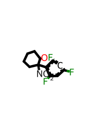 O=C1CCCCC1(c1c(F)cc(F)cc1F)[N+](=O)[O-]